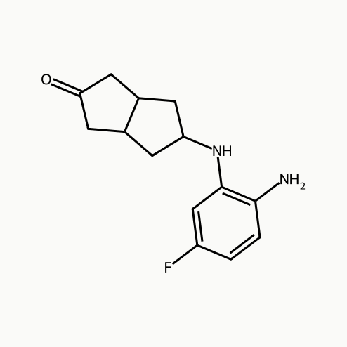 Nc1ccc(F)cc1NC1CC2CC(=O)CC2C1